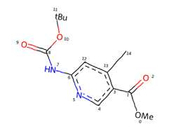 COC(=O)c1cnc(NC(=O)OC(C)(C)C)cc1C